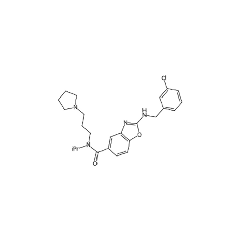 CC(C)N(CCCN1CCCC1)C(=O)c1ccc2oc(NCc3cccc(Cl)c3)nc2c1